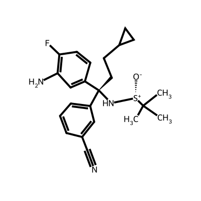 CC(C)(C)[S@@+]([O-])N[C@](CCC1CC1)(c1cccc(C#N)c1)c1ccc(F)c(N)c1